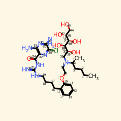 CCCCC(C)N(CCOc1ccccc1CCCCNC(=N)NC(=O)c1nc(Cl)c(N)nc1N)C[C@H](O)[C@@H](O)[C@H](O)[C@H](O)CO